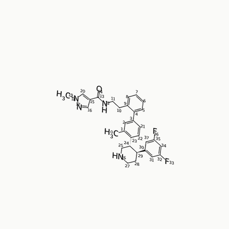 Cc1cc(-c2ccccc2CCNC(=O)c2cnn(C)c2)ccc1[C@H]1CNCC[C@@H]1c1cc(F)cc(F)c1